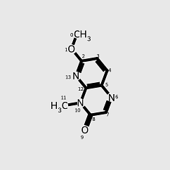 COc1ccc2ncc(=O)n(C)c2n1